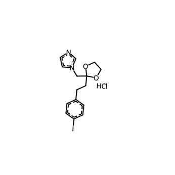 Cl.Ic1ccc(CCC2(Cn3ccnc3)OCCO2)cc1